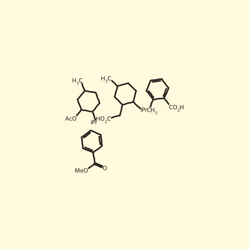 CC(=O)OC1CC(C)CCC1C(C)C.CC1CCC(C(C)C)C(CC(=O)O)C1.COC(=O)c1ccccc1.Cc1ccccc1C(=O)O